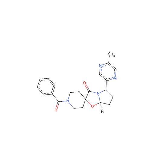 Cc1cnc([C@@H]2CC[C@H]3OC4(CCN(C(=O)c5ccccc5)CC4)C(=O)N32)cn1